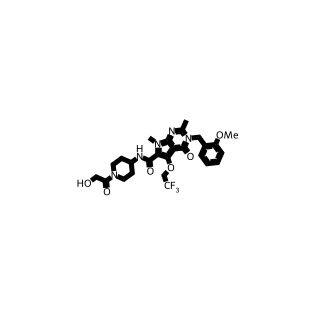 COc1ccccc1Cn1c(C)nc2c(c(OCC(F)(F)F)c(C(=O)NC3CCN(C(=O)CO)CC3)n2C)c1=O